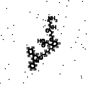 NCCCNC(=O)CCCOc1cccc(CCCCCCOc2cc(-c3ccccc3)cc(-c3ccccc3)n2)c1CCC(=O)O